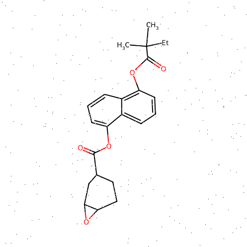 CCC(C)(C)C(=O)Oc1cccc2c(OC(=O)C3CCC4OC4C3)cccc12